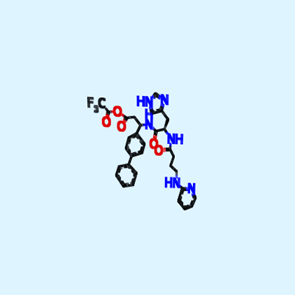 O=C(CCCNc1ccccn1)N[C@H](Cc1c[nH]cn1)C(=O)NC(CC(=O)OC(=O)C(F)(F)F)c1ccc(-c2ccccc2)cc1